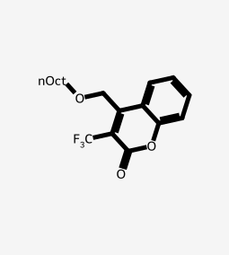 CCCCCCCCOCc1c(C(F)(F)F)c(=O)oc2ccccc12